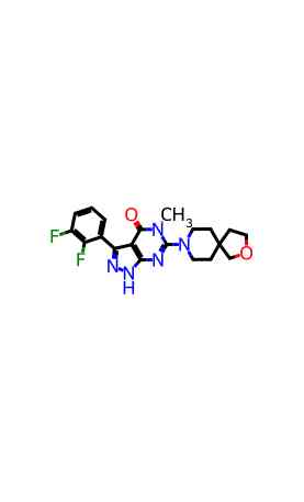 Cn1c(N2CCC3(CCOC3)CC2)nc2[nH]nc(-c3cccc(F)c3F)c2c1=O